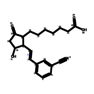 N#Cc1cccc(/C=C/C2C(O)CC(=O)C2CCCCCCC(=O)O)c1